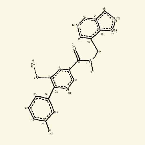 CCOc1cc(C(=O)N(C)Cc2cncc3cn[nH]c23)cnc1-c1cccc(F)c1